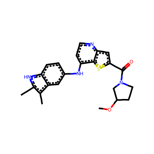 COC1CCN(C(=O)c2cc3nccc(Nc4ccc5[nH]c(C)c(C)c5c4)c3s2)C1